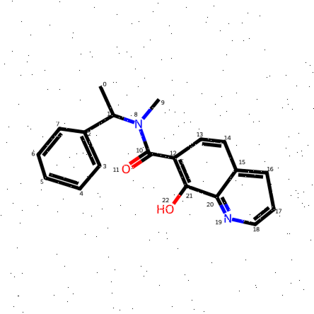 CC(c1ccccc1)N(C)C(=O)c1ccc2cccnc2c1O